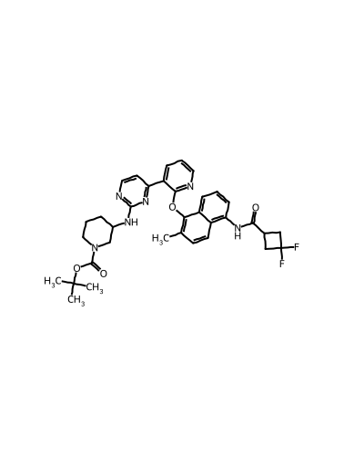 Cc1ccc2c(NC(=O)C3CC(F)(F)C3)cccc2c1Oc1ncccc1-c1ccnc(NC2CCCN(C(=O)OC(C)(C)C)C2)n1